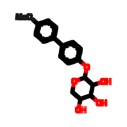 COc1ccc(-c2ccc(OC3OCC(O)C(O)C3O)cc2)cc1